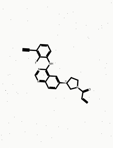 C#Cc1cccc(Nc2ncnc3ccc([C@H]4CCN(C(=O)C=C)C4)cc23)c1F